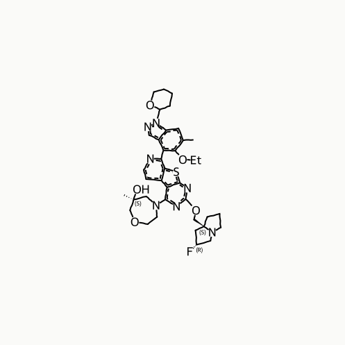 CCOc1c(C)cc2c(cnn2C2CCCCO2)c1-c1nccc2c1sc1nc(OC[C@@]34CCCN3C[C@H](F)C4)nc(N3CCOC[C@@](C)(O)C3)c12